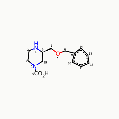 O=C(O)N1CCN[C@@H](COCc2ccccc2)C1